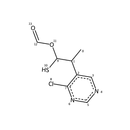 CC(c1cncnc1Cl)C(S)OC=O